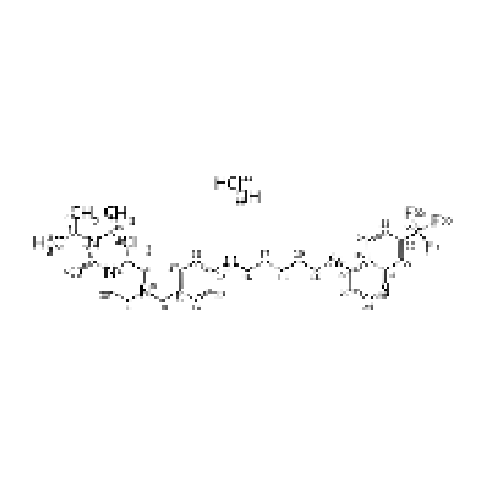 CC(C)N(C(=O)N1CCN(Cc2ccc(OCCCCCSc3ccnc4cc(C(F)(F)F)ccc34)cc2)CC1)C(C)C.Cl.Cl